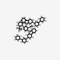 N#Cc1c(-n2c3ccccc3c3ccc(-c4cccc(-c5ccccc5)n4)cc32)ccc(-c2ccccc2C(F)(F)F)c1-n1c2ccccc2c2ccc(-c3cccc(-c4ccccc4)n3)cc21